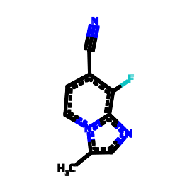 Cc1cnc2c(F)c(C#N)ccn12